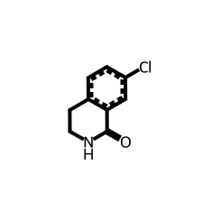 O=C1NCCc2ccc(Cl)cc21